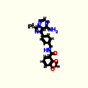 CC(C)c1nc(-c2ccc(CNC(=O)c3cccc4c3OCO4)cc2)c2c(N)ncnn12